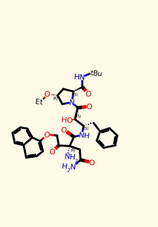 CCO[C@@H]1C[C@@H](C(=O)NC(C)(C)C)N(C(=O)[C@@H](O)[C@H](Cc2ccccc2)NC(=O)[C@@](N)(CC(N)=O)C(=O)COc2cccc3ccccc23)C1